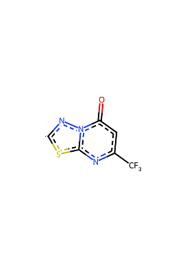 O=c1cc(C(F)(F)F)nc2s[c]nn12